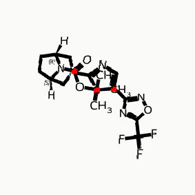 CC(C)(C)OC(=O)N1[C@@H]2CC[C@H]1CN(c1ncc(-c3noc(C(F)(F)F)n3)s1)C2